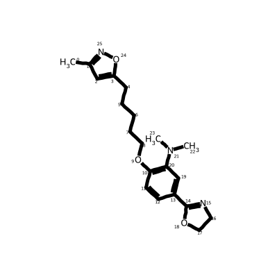 Cc1cc(CCCCCOc2ccc(C3=NCCO3)cc2N(C)C)on1